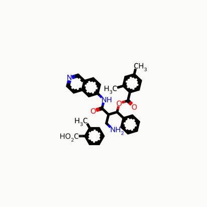 Cc1ccc(C(=O)OC(c2ccccc2)C(CN)C(=O)Nc2ccc3cnccc3c2)c(C)c1.Cc1ccccc1C(=O)O